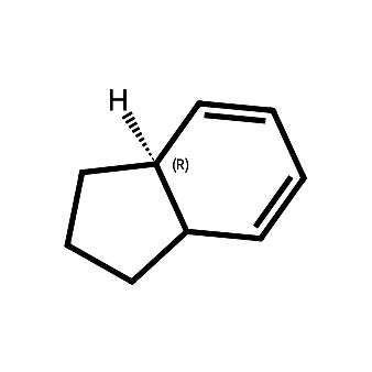 C1=CC2CCC[C@H]2C=C1